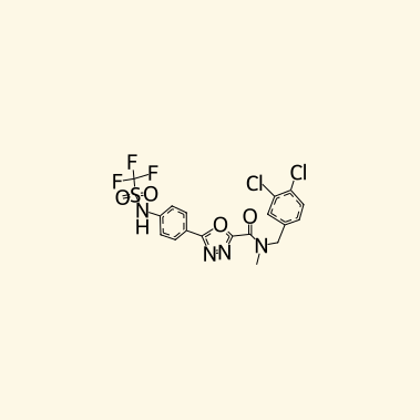 CN(Cc1ccc(Cl)c(Cl)c1)C(=O)c1nnc(-c2ccc(NS(=O)(=O)C(F)(F)F)cc2)o1